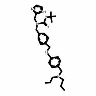 CCCN(CCC)Cc1ccc(OCc2ccc(CN(Cc3ncc[nH]3)C(=O)OC(C)(C)C)cc2)cc1